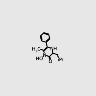 CC1=C(c2ccccc2)NC(CC(C)C)C(=O)N1O